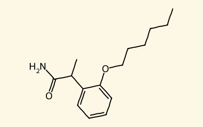 CCCCCCOc1ccccc1C(C)C(N)=O